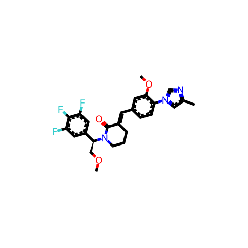 COC[C@@H](c1cc(F)c(F)c(F)c1)N1CCC/C(=C\c2ccc(-n3cnc(C)c3)c(OC)c2)C1=O